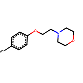 CCCc1ccc(OCCN2CCOCC2)cc1